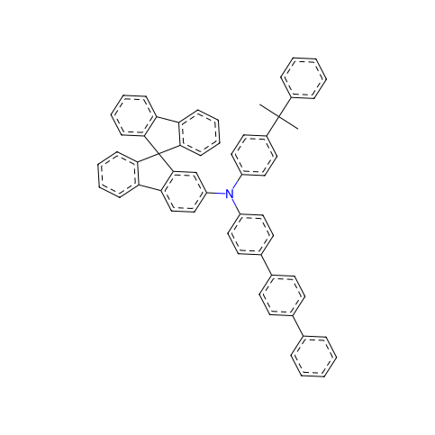 CC(C)(c1ccccc1)c1ccc(N(c2ccc(-c3ccc(-c4ccccc4)cc3)cc2)c2ccc3c(c2)C2(c4ccccc4-c4ccccc42)c2ccccc2-3)cc1